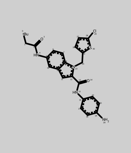 CC(C)(C)CC(=O)Nc1ccc2c(c1)cc(C(=O)Nc1ccc(N)cc1)n2Cc1ccc(Cl)s1